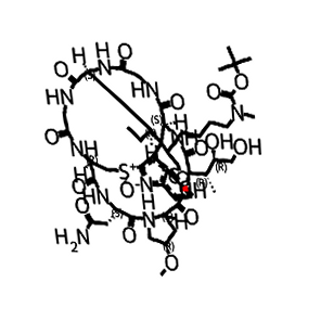 CC[C@@H]1C(CCCCN(C)C(=O)OC(C)(C)C)COc2ccc3c4c([nH]c3c2)[S+]([O-])C[C@@H]2NC(=O)CNC(=O)[C@H]1NC(=O)CNC(=O)[C@H](C4)NC(=O)C([C@@H](C)[C@@H](O)CO)NC(=O)[C@@H]1C[C@@H](OC)CN1C(=O)[C@H](CC(N)=O)NC2=O